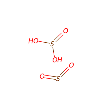 O=S(O)O.O=S=O